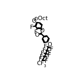 CCCCCCCCOc1ccc(OC(=O)c2ccc(OC(F)(F)C(F)(F)C(F)(F)C(F)(F)C(F)(F)C(F)(F)F)cc2)c(F)c1F